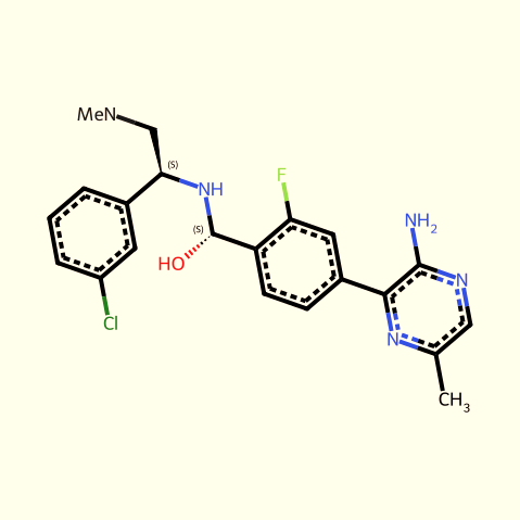 CNC[C@@H](N[C@@H](O)c1ccc(-c2nc(C)cnc2N)cc1F)c1cccc(Cl)c1